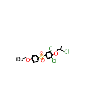 CCC(C)COc1ccc(S(=O)(=O)c2cc(Cl)c(OCC(C)CCl)c(Cl)c2)cc1